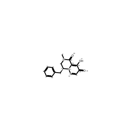 CN1C[C@H](Cc2ccccc2)n2ncc(=O)c(O)c2C1=O